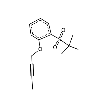 CC#CCOc1ccccc1S(=O)(=O)C(C)(C)C